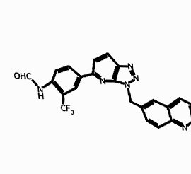 O=CNc1ccc(-c2ccc3nnn(Cc4ccc5ncccc5c4)c3n2)cc1C(F)(F)F